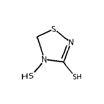 SC1=NSCN1S